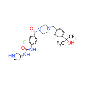 O=C(Nc1ccc(C(=O)N2CCN(Cc3ccc(C(O)(C(F)(F)F)C(F)(F)F)cc3)CC2)cc1F)N[C@@H]1CCNC1